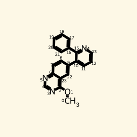 COc1ncnc2ccc(-c3cccnc3-c3ccccc3)cc12